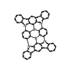 c1ccc2c(c1)c1cc3c4ccccc4n4c3c3c1n2-c1ccc2c5c1B3c1c-4ccc3c1B5c1c4c(cc5c6ccccc6n-3c15)c1ccccc1n4-2